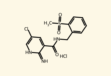 CS(=O)(=O)c1ccccc1CNC(=O)c1cc(Cl)c[nH]c1=N.Cl